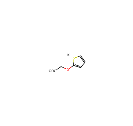 O=C([O-])COc1cccs1.[K+]